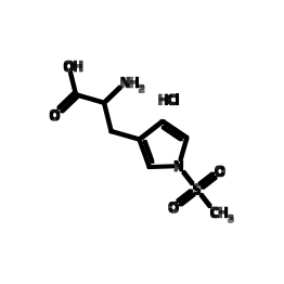 CS(=O)(=O)n1ccc(CC(N)C(=O)O)c1.Cl